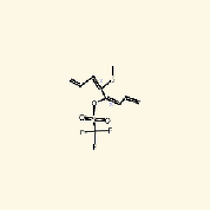 C=C/C=C(OS(=O)(=O)C(F)(F)F)\C(=C/C=C)SI